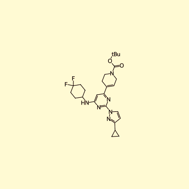 CC(C)(C)OC(=O)N1CC=C(c2cc(NC3CCC(F)(F)CC3)nc(-n3ccc(C4CC4)n3)n2)CC1